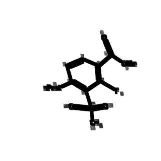 CCCCCc1ccc(C(=O)OC)c(F)c1S(C)(=O)=O